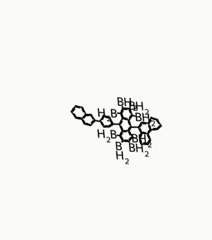 Bc1c(B)c(B)c2c(-c3cc4ccccc4c4ccccc34)c3c(B)c(B)c(B)c(B)c3c(-c3ccc(-c4ccc5ccccc5c4)cc3)c2c1B